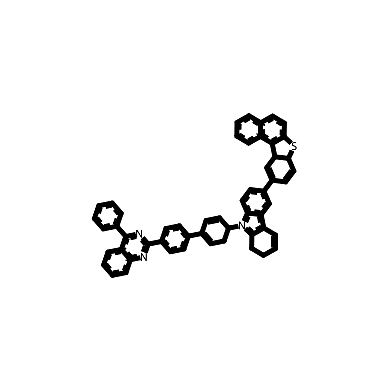 C1=Cc2c(n(C3C=CC(c4ccc(-c5nc(-c6ccccc6)c6ccccc6n5)cc4)=CC3)c3ccc(C4=CC5c6c(ccc7ccccc67)SC5C=C4)cc23)CC1